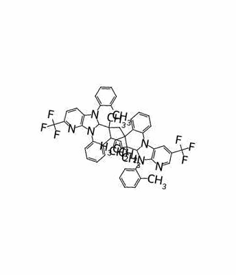 C=CC1c2ccccc2N2c3nc(C(F)(F)F)ccc3N(c3ccccc3C)C2C1(C)CC1(C=C)c2ccccc2N2c3cc(C(F)(F)F)cnc3N(c3ccccc3C)C2C1(C)C